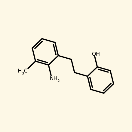 Cc1cccc(CCc2ccccc2O)c1N